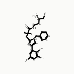 CC(C)([CH]c1nc(-c2cc(F)cc(F)c2F)cn1Cc1ccccc1)C(=O)NCC[C@@H](N)CF